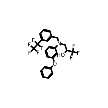 OC(CN(Cc1cccc(C(F)(F)C(F)(F)F)c1)c1cccc(Oc2ccccc2)c1)C(F)(F)F